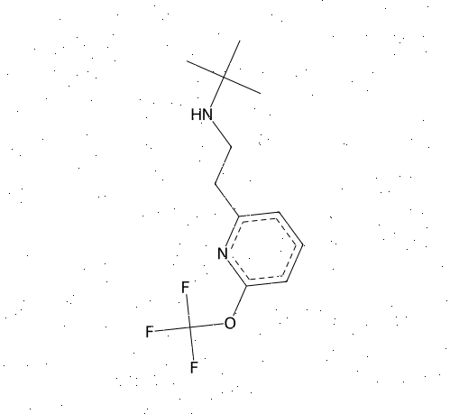 CC(C)(C)NCCc1cccc(OC(F)(F)F)n1